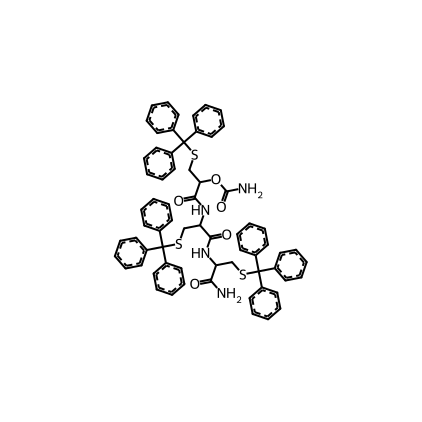 NC(=O)OC(CSC(c1ccccc1)(c1ccccc1)c1ccccc1)C(=O)NC(CSC(c1ccccc1)(c1ccccc1)c1ccccc1)C(=O)NC(CSC(c1ccccc1)(c1ccccc1)c1ccccc1)C(N)=O